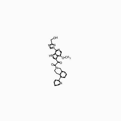 COc1cnc(-n2cnc(CO)n2)c2[nH]cc(C(=O)C(=O)N3CCc4c(cccc4-c4ccccn4)C3)c12